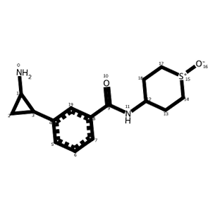 NC1CC1c1cccc(C(=O)NC2CC[S+]([O-])CC2)c1